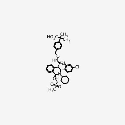 CC(C)(C(=O)O)c1ccc(CONC(=O)[C@@H]2c3ccccc3C(=O)N([C@H]3CCCC[C@@H]3NS(C)(=O)=O)[C@H]2c2ccc(Cl)cc2Cl)cc1